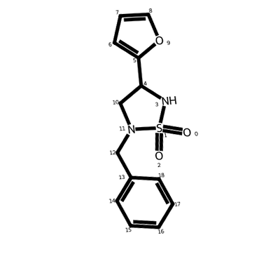 O=S1(=O)NC(c2ccco2)CN1Cc1ccccc1